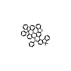 CC1(C)c2ccccc2-c2c1ccc1c2-c2cc3oc4ccccc4c3c3c2B(c2cccc4c2N3c2ccccc2C4(c2ccccc2)c2ccccc2)N1c1ccccc1